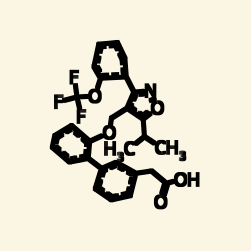 CC(C)c1onc(-c2ccccc2OC(F)(F)F)c1COc1ccccc1-c1cccc(CC(=O)O)c1